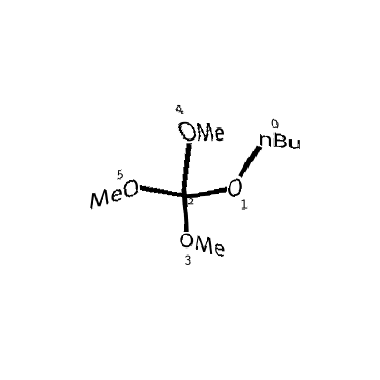 CCCCOC(OC)(OC)OC